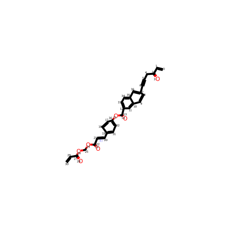 C=CC(=O)CC#Cc1ccc2cc(C(=O)Oc3ccc(/C=C/C(=O)OCOC(=O)C=C)cc3)ccc2c1